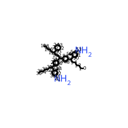 CCCCCCC(c1ccc(C(CCC(CCCCC)C2CCCCC2)c2ccc(C(CCCCCC)c3ccc(N)cc3C)cc2)cc1)c1ccc(N)cc1C